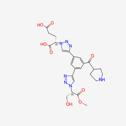 COC(=O)[C@H](CO)n1cc(-c2cc(C(=O)C3CCNCC3)cc(-c3cn([C@@H](CCC(=O)O)C(=O)O)nn3)c2)nn1